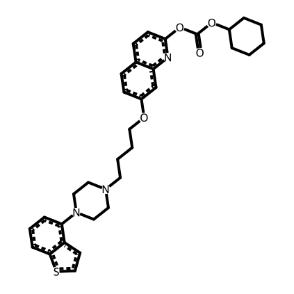 O=C(Oc1ccc2ccc(OCCCCN3CCN(c4cccc5sccc45)CC3)cc2n1)OC1CCCCC1